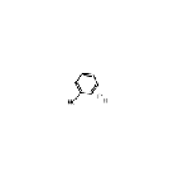 N#Cc1ccccc1.[F-].[H+]